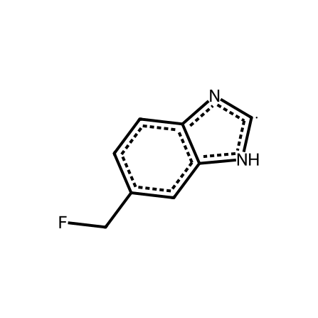 FCc1ccc2n[c][nH]c2c1